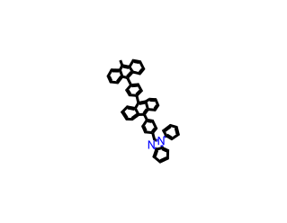 Cc1c2ccccc2c(-c2ccc(-c3c4ccccc4c(-c4ccc(-c5nc6ccccc6n5-c5ccccc5)cc4)c4ccccc34)cc2)c2ccccc12